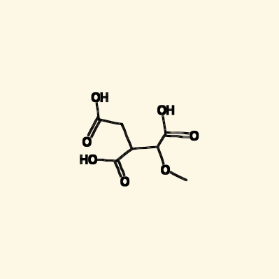 COC(C(=O)O)C(CC(=O)O)C(=O)O